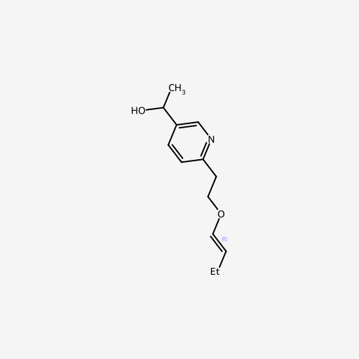 CC/C=C/OCCc1ccc(C(C)O)cn1